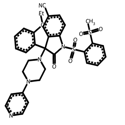 CCOc1ccccc1C1(N2CCN(c3ccncc3)CC2)C(=O)N(S(=O)(=O)c2ccccc2S(C)(=O)=O)c2ccc(C#N)cc21